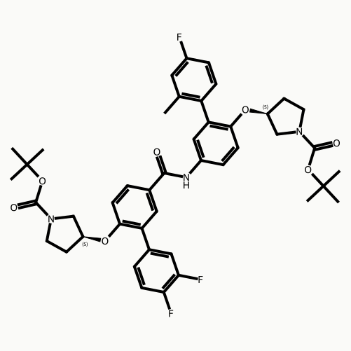 Cc1cc(F)ccc1-c1cc(NC(=O)c2ccc(O[C@H]3CCN(C(=O)OC(C)(C)C)C3)c(-c3ccc(F)c(F)c3)c2)ccc1O[C@H]1CCN(C(=O)OC(C)(C)C)C1